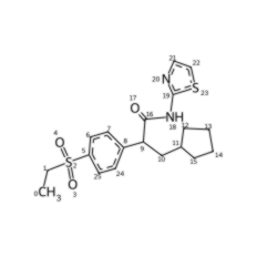 CCS(=O)(=O)c1ccc(C(CC2CCCC2)C(=O)Nc2nccs2)cc1